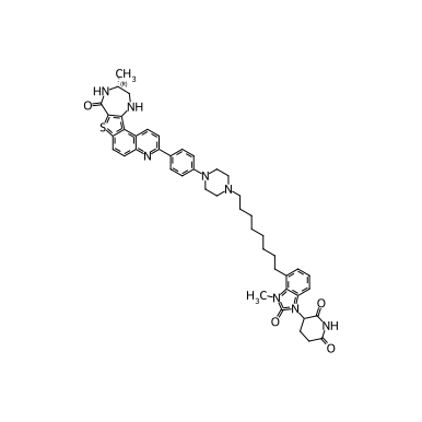 C[C@@H]1CNc2c(sc3ccc4nc(-c5ccc(N6CCN(CCCCCCCCc7cccc8c7n(C)c(=O)n8C7CCC(=O)NC7=O)CC6)cc5)ccc4c23)C(=O)N1